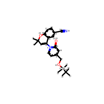 CC1(C)C=C(n2ccc(CO[Si](C)(C)C(C)(C)C)cc2=O)c2cc(C#N)ccc2O1